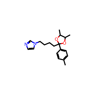 Cc1ccc(C2(CCCCn3ccnc3)OC(C)C(C)O2)cc1